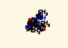 Cc1cc(C2=NS(=O)(=O)c3c(-c4c(C)cnn4C)cc(N4CCOC[C@H]4C)nc32)[nH]n1